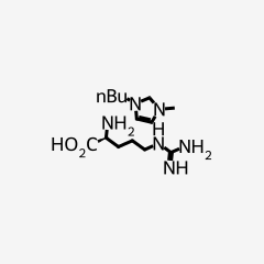 CCCCN1C=CN(C)C1.N=C(N)NCCC[C@H](N)C(=O)O